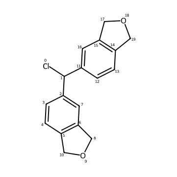 ClC(c1ccc2c(c1)COC2)c1ccc2c(c1)COC2